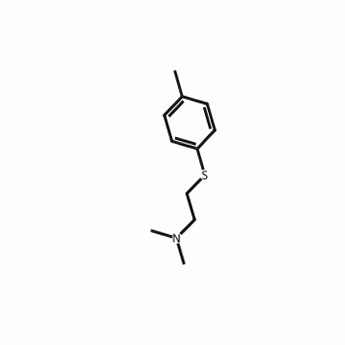 Cc1ccc(SCCN(C)C)cc1